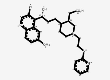 COc1ccc2ncc(Cl)c([C@H](O)CCC3CCN(CCSc4ccccn4)CC3CC(=O)O)c2c1